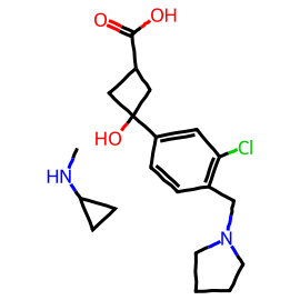 CNC1CC1.O=C(O)C1CC(O)(c2ccc(CN3CCCC3)c(Cl)c2)C1